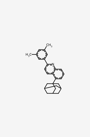 Cc1cc(C)cc(-c2ccc3c(C45CC6CC(CC(C6)C4)C5)cccc3n2)c1